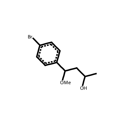 COC(CC(C)O)c1ccc(Br)cc1